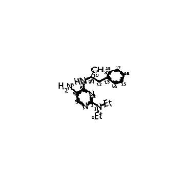 CCN(CC)c1ncc(N)c(N[C@H](C)Cc2ccccc2)n1